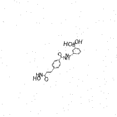 O=C(/C=C/c1ccc(C(=O)N/N=C/c2cccc(B(O)O)c2)cc1)NO